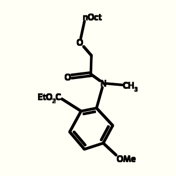 CCCCCCCCOCC(=O)N(C)c1cc(OC)ccc1C(=O)OCC